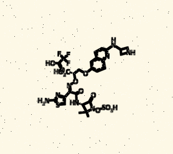 CC1(C)[C@H](NC(=O)/C(=N\O[C@@H](COc2ccc3nc(NC4CNC4)ccc3c2)C(=O)O)c2csc(N)n2)C(=O)N1OS(=O)(=O)O.O=C(O)C(F)(F)F